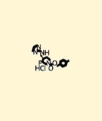 Cc1ccc(COC(=O)N2CC[C@H](CNc3ncccn3)[C@@H](F)C2)cc1.Cl